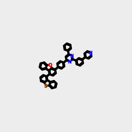 c1ccc(-c2cc(-c3ccc(-c4ccc(-c5cccc6sc7ccccc7c56)c5c4oc4ccccc45)cc3)nc(-c3cccc(-c4ccncc4)c3)n2)cc1